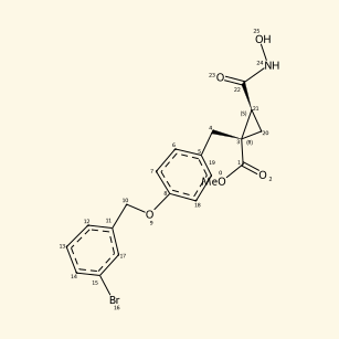 COC(=O)[C@@]1(Cc2ccc(OCc3cccc(Br)c3)cc2)C[C@@H]1C(=O)NO